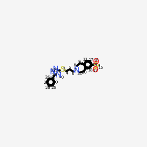 Cn1c(SCCCN2CCc3ccc(S(C)(=O)=O)cc3CC2)nnc1-c1ccccc1